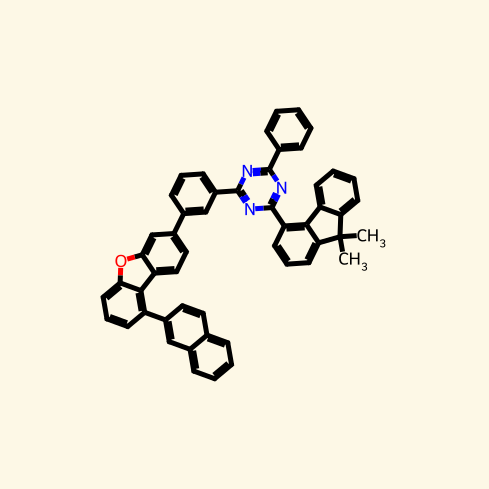 CC1(C)c2ccccc2-c2c(-c3nc(-c4ccccc4)nc(-c4cccc(-c5ccc6c(c5)oc5cccc(-c7ccc8ccccc8c7)c56)c4)n3)cccc21